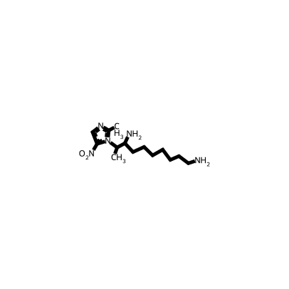 Cc1ncc([N+](=O)[O-])n1C(C)C(N)CCCCCCCN